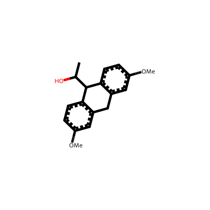 COc1ccc2c(c1)Cc1cc(OC)ccc1C2C(C)O